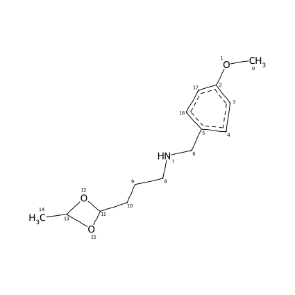 COc1ccc(CNCCCC2OC(C)O2)cc1